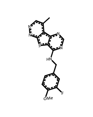 COc1ccc(CNc2ncnc3c2sc2nncc(C)c23)cc1F